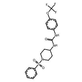 O=C(Nc1ccc(OC(F)(F)F)cc1)NC1CCN(S(=O)(=O)c2ccccc2)CC1